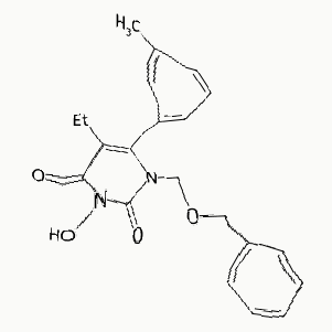 CCc1c(-c2cccc(C)c2)n(COCc2ccccc2)c(=O)n(O)c1=O